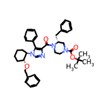 CC(C)(C)OC(=O)N1CCN(C(=O)c2ncn([C@@H]3CCCC[C@H]3OCc3ccccc3)c2-c2ccccc2)[C@H](Cc2ccccc2)C1